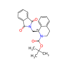 CC(C)(C)OC(=O)N1CCc2ccccc2[C@@H]1CN1C(=O)c2ccccc2C1=O